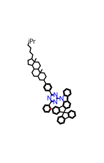 CC(C)CCCCC1CCC2C3CCC4CC(c5ccc(-c6nc(-c7ccccc7)nc(-n7c8ccccc8c8ccc9c(c87)-c7ccccc7C97c8ccccc8-c8ccccc87)n6)cc5)CCC4(C)C3CCC12C